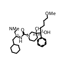 CNC[C@H](CC1CCCCC1)NC(=O)N1CCC[C@@](C)([C@@](O)(CCCCOC)c2ccccc2)C1